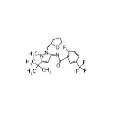 Cn1c(C(C)(C)C)c/c(=N\C(=O)c2cc(C(F)(F)F)ccc2F)n1C[C@H]1CCCO1